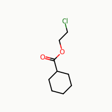 O=C(OCCCl)C1CCCCC1